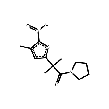 Cc1cc(C(C)(C)C(=O)N2CCCC2)sc1[N+](=O)[O-]